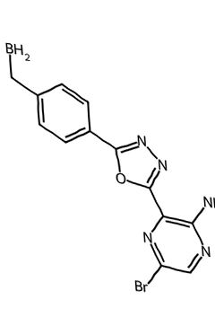 BCc1ccc(-c2nnc(-c3nc(Br)cnc3N)o2)cc1